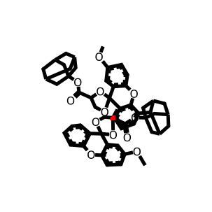 COc1ccc2c(c1)C1(OCC(C)(C(=O)OC34CC5CC(C3)C(c3cccc6c3Oc3ccc(OC)cc3C63OCC(C(=O)OC67CC8CC(CC(C8)C6)C7)O3)C(C5)C4)O1)c1ccccc1O2